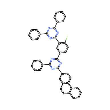 Fc1ccc(-c2nc(-c3ccccc3)nc(-c3ccc4c(ccc5ccccc54)c3)n2)cc1-c1nc(-c2ccccc2)nc(-c2ccccc2)n1